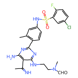 CC(=N)c1c(N)nc(-c2ccc(NS(=O)(=O)c3cc(Cl)ccc3F)cc2C)nc1NCCN(C)C=O